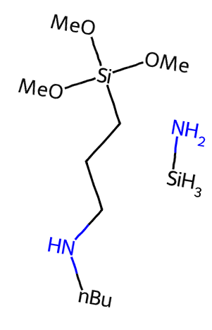 CCCCNCCC[Si](OC)(OC)OC.N[SiH3]